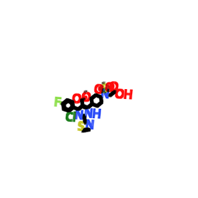 COC(=O)C1=C(C2CCC(N(CC(=O)O)S(C)(=O)=O)CC2)NC(c2nccs2)=NC1c1ccc(F)cc1Cl